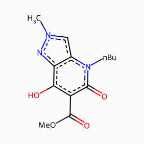 CCCCn1c(=O)c(C(=O)OC)c(O)c2nn(C)cc21